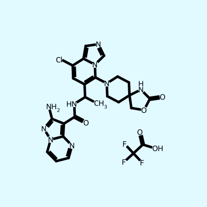 CC(NC(=O)c1c(N)nn2cccnc12)c1cc(Cl)c2cncn2c1N1CCC2(CC1)COC(=O)N2.O=C(O)C(F)(F)F